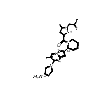 Cc1cn2nc([C@@H]3CCCCN3C(=O)C3CC(C)N(CC(F)F)N3)cc2nc1N1CC[C@H](N)C1